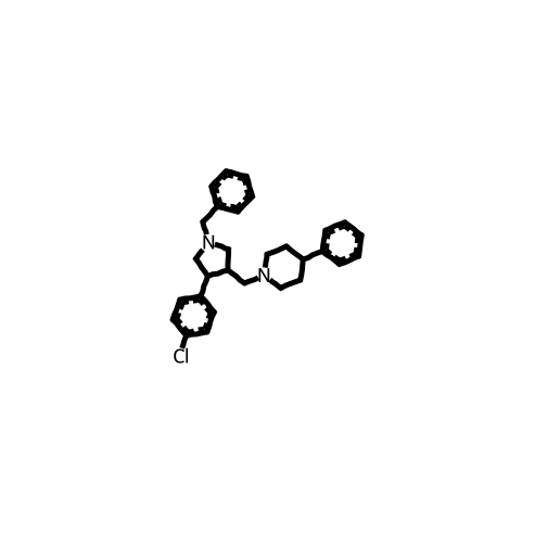 Clc1ccc(C2CN(Cc3ccccc3)CC2CN2CCC(c3ccccc3)CC2)cc1